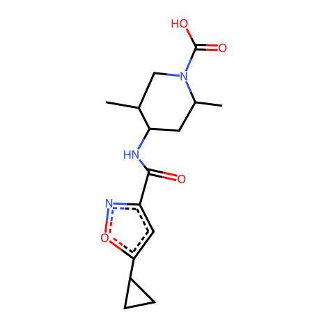 CC1CN(C(=O)O)C(C)CC1NC(=O)c1cc(C2CC2)on1